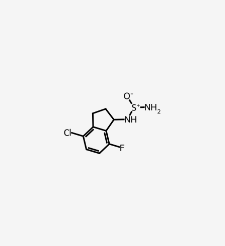 N[S+]([O-])NC1CCc2c(Cl)ccc(F)c21